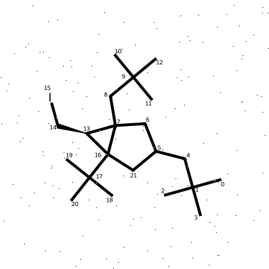 CC(C)(C)CC1CC2(CC(C)(C)C)[C@H](CI)C2(C(C)(C)C)C1